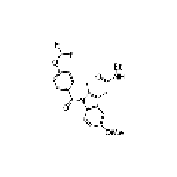 CCNC(=O)Cc1c(C)n(C(=O)c2ccc(OC(F)F)cc2)c2ccc(OC)cc12